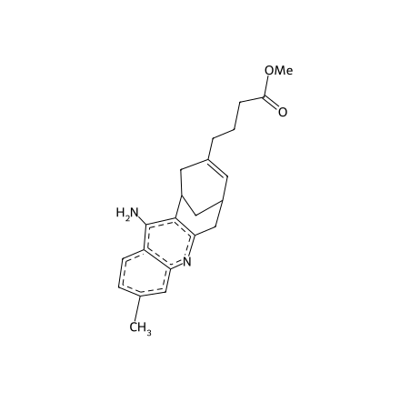 COC(=O)CCCC1=CC2Cc3nc4cc(C)ccc4c(N)c3C(C1)C2